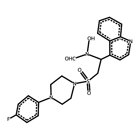 O=CN(O)C(CS(=O)(=O)N1CCN(c2ccc(F)cc2)CC1)c1ccnc2ccccc12